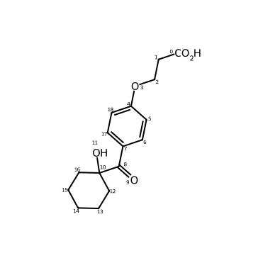 O=C(O)CCOc1ccc(C(=O)C2(O)CCCCC2)cc1